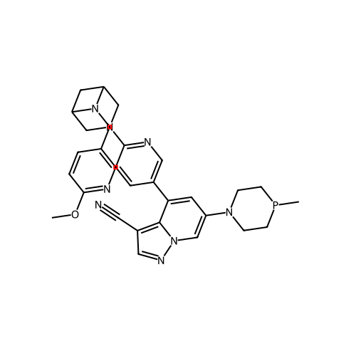 COc1ccc(CN2C3CC2CN(c2ccc(-c4cc(N5CCP(C)CC5)cn5ncc(C#N)c45)cn2)C3)cn1